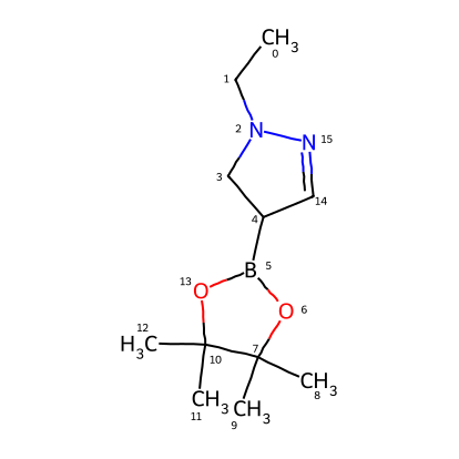 CCN1CC(B2OC(C)(C)C(C)(C)O2)C=N1